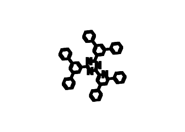 c1ccc(-c2cc(-c3ccccc3)cc(-c3nc(-c4cc(-c5ccccc5)cc(-c5ccccc5)c4)nc(-c4cc(-c5ccccc5)cc(-c5ccccc5)n4)n3)c2)cc1